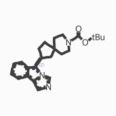 CC(C)(C)OC(=O)N1CCC2(CC/C(=c3\c4ccccc4c4cncn34)C2)CC1